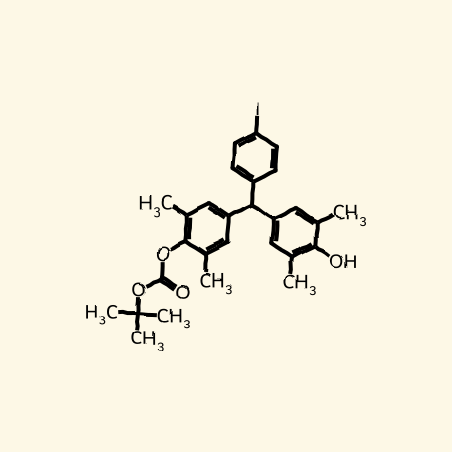 Cc1cc(C(c2ccc(I)cc2)c2cc(C)c(OC(=O)OC(C)(C)C)c(C)c2)cc(C)c1O